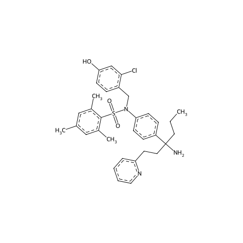 CCCC(N)(CCc1ccccn1)c1ccc(N(Cc2ccc(O)cc2Cl)S(=O)(=O)c2c(C)cc(C)cc2C)cc1